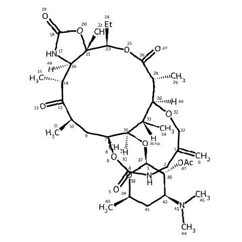 C=C1CNC(=O)O[C@]2(C)C[C@@H](C)C(=O)[C@H](C)[C@H]3NC(=O)O[C@]3(C)[C@@H](CC)OC(=O)[C@H](C)[C@@H](OC1)[C@H](C)[C@H]2O[C@@H]1O[C@H](C)C[C@H](N(C)C)[C@H]1OC(C)=O